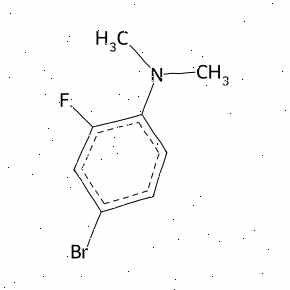 CN(C)c1ccc(Br)cc1F